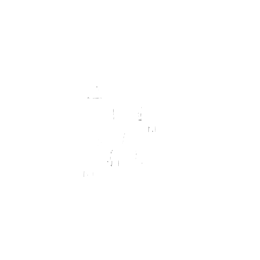 CC(C)CC(C(=O)NC(C)(C)C)[C@H](CCC1CC1)C(N)=O